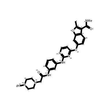 CNC(=O)c1c(C)oc2cc(Oc3ccnc(Nc4cccc(NC(=O)CN5CCN(C(C)C)CC5)c4)n3)ccc12